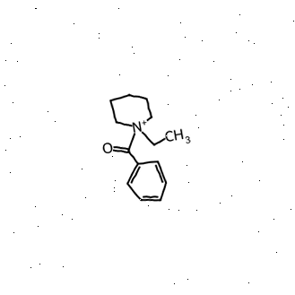 CC[N+]1(C(=O)c2ccccc2)CCCCC1